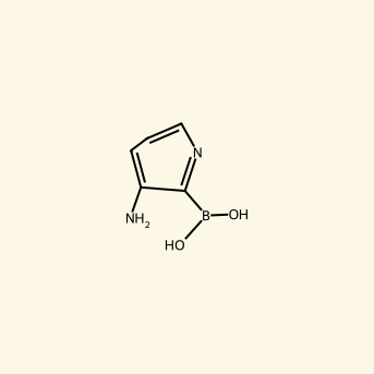 Nc1cccnc1B(O)O